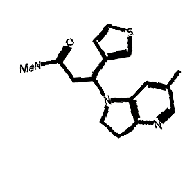 CNC(=O)CC(c1ccsc1)N1CCc2ncc(C)cc21